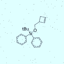 CC(C)(C)[Si](OCC1C=[C]C1)(c1ccccc1)c1ccccc1